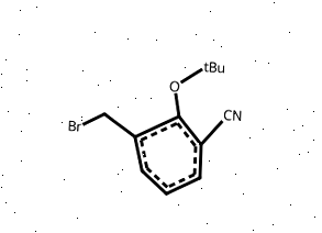 CC(C)(C)Oc1c(C#N)cccc1CBr